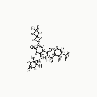 C[C@@H](NC(=O)c1cn(C2CC3(C2)CC(F)(F)C3)c(=O)cc1N[C@H]1[C@@H]2CN(C)C[C@@H]21)c1cccc(C(F)F)c1F